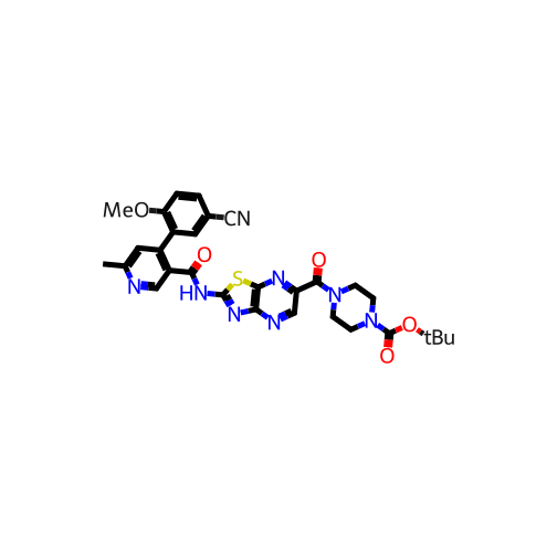 COc1ccc(C#N)cc1-c1cc(C)ncc1C(=O)Nc1nc2ncc(C(=O)N3CCN(C(=O)OC(C)(C)C)CC3)nc2s1